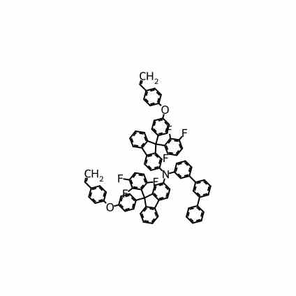 C=Cc1ccc(Oc2ccc(C3(c4c(F)ccc(F)c4F)c4ccccc4-c4ccc(N(c5cccc(-c6cccc(-c7ccccc7)c6)c5)c5ccc6c(c5)C(c5ccc(Oc7ccc(C=C)cc7)cc5)(c5c(F)ccc(F)c5F)c5ccccc5-6)cc43)cc2)cc1